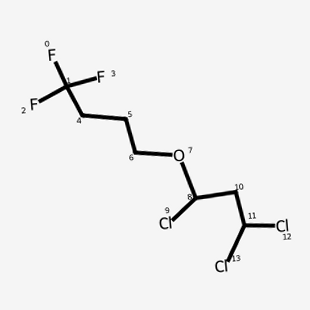 FC(F)(F)CCCOC(Cl)CC(Cl)Cl